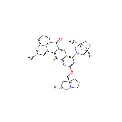 Cc1cc(-c2c(F)cc3c(N4C[C@H]5CC[C@@](C)(C5)C4)nc(OC[C@@]45CCCN4C[C@H](F)C5)nc3c2F)c2c(C=O)cccc2c1